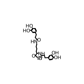 CC(C)C(=O)C(CCCCNC(=O)CCc1ccc(O)c(O)c1)NC(=O)CCc1ccc(O)c(O)c1